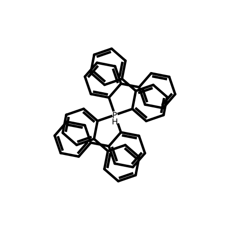 c1ccc(-c2ccccc2[PH](c2ccccc2-c2ccccc2)(c2ccccc2-c2ccccc2)c2ccccc2-c2ccccc2)cc1